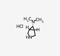 CN(C)[C@@H]1[C@@H]2CNC[C@@H]21.Cl